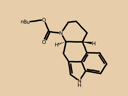 CCCCOC(=O)N1CCC[C@@H]2c3cccc4[nH]cc(c34)C[C@H]21